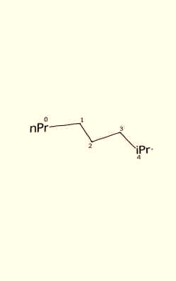 CCCCCC[C](C)C